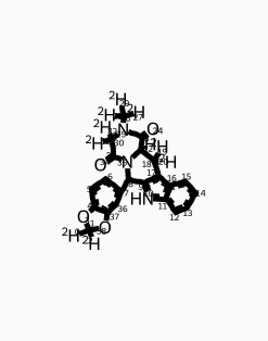 [2H]C1([2H])Oc2ccc(C3c4[nH]c5ccccc5c4C([2H])([2H])[C@]4([2H])C(=O)N(C([2H])([2H])[2H])C([2H])([2H])C(=O)N34)cc2O1